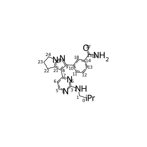 CC(C)CNc1nccc(-c2c(-c3cccc(C(N)=O)c3)nn3c2CCC3)n1